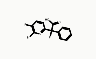 O=C(O)C(F)(c1ccccc1)c1ccc(F)c(Br)n1